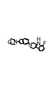 Fc1cccc2c3c([nH]c12)CN(c1ccc2c(c1)C=C(N1CCOCC1)C2)CC3